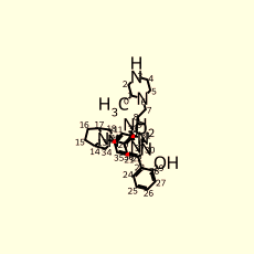 C[C@@H]1CNCCN1CCOc1cc(N2C3CCC2CN(c2cc(-c4ccccc4O)nnc2N)C3)ccn1